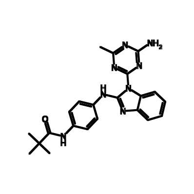 Cc1nc(N)nc(-n2c(Nc3ccc(NC(=O)C(C)(C)C)cc3)nc3ccccc32)n1